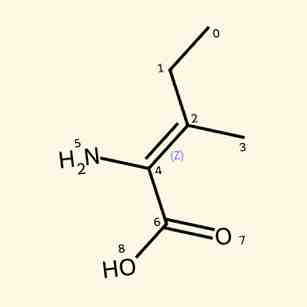 CC/C(C)=C(\N)C(=O)O